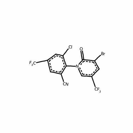 N#Cc1cc(C(F)(F)F)cc(Cl)c1-n1cc(C(F)(F)F)cc(Br)c1=O